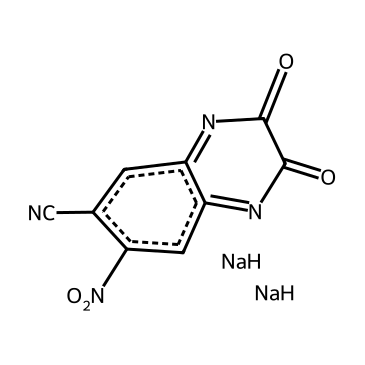 N#Cc1cc2c(cc1[N+](=O)[O-])=NC(=O)C(=O)N=2.[NaH].[NaH]